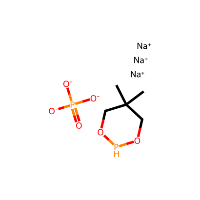 CC1(C)COPOC1.O=P([O-])([O-])[O-].[Na+].[Na+].[Na+]